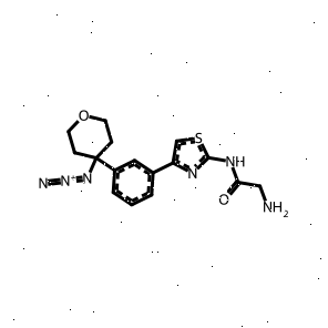 [N-]=[N+]=NC1(c2cccc(-c3csc(NC(=O)CN)n3)c2)CCOCC1